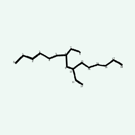 CCCCCCC(CC)CC(CC)CCCCCC